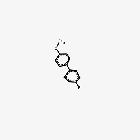 COc1ccc(-c2ccc(F)cc2)cc1